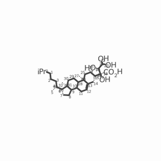 CC(C)CCC[C@@H](C)[C@H]1CCC2C3CC=C4C[C@@H]([C@@](O)(C(=O)O)[C@H](O)C(O)O)CC[C@]4(C)C3CC[C@@]21C